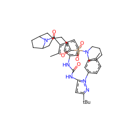 Cc1ccc(-n2nc(C(C)(C)C)cc2NC(=O)Nc2cccc(CC3CC4CCC(C3)N4C(=O)c3cc(S(=O)(=O)N4CCCCC4)oc3C)c2)cc1